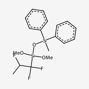 CO[Si](OC)(O[Si](C)(c1ccccc1)c1ccccc1)C(F)(F)C(C)F